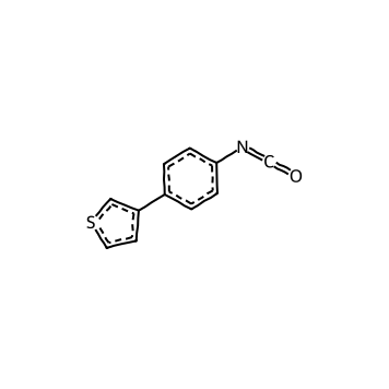 O=C=Nc1ccc(-c2ccsc2)cc1